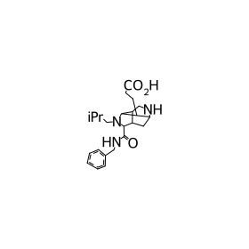 CC(C)CN1C(C(=O)NCc2ccccc2)C2CC3NCC2C1C3CCC(=O)O